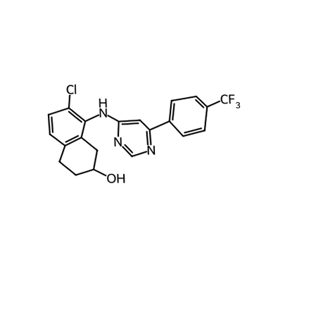 OC1CCc2ccc(Cl)c(Nc3cc(-c4ccc(C(F)(F)F)cc4)ncn3)c2C1